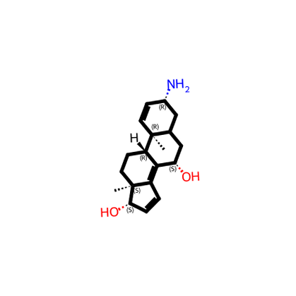 C[C@]12CC[C@H]3C(=C1C=C[C@@H]2O)[C@@H](O)CC1C[C@@H](N)C=C[C@@]13C